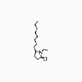 CCCCCCCCC1CCC(=O)N1CC